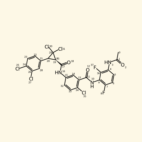 CC(=O)Nc1ccc(F)c(NC(=O)c2cc(NC(=O)[C@H]3C(c4ccc(Cl)c(Cl)c4)C3(Cl)Cl)ccc2Cl)c1F